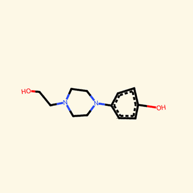 OCCN1CCN(c2[c]cc(O)cc2)CC1